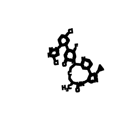 CC1CCCC(n2cc(F)c(-c3cc(Cl)ccc3-n3cc(Cl)nn3)cc2=O)c2cc(ccn2)-c2c(cnn2C2CC2)NC1=O